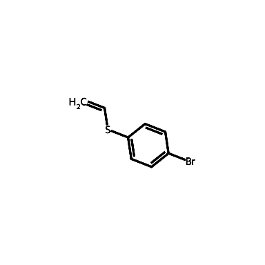 C=CSc1ccc(Br)cc1